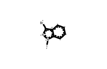 Brc1nn(I)c2ccccc12